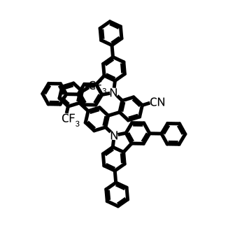 N#Cc1ccc(-c2cc(-c3c(C(F)(F)F)cccc3C(F)(F)F)ccc2-n2c3ccc(-c4ccccc4)cc3c3cc(-c4ccccc4)ccc32)c(-n2c3ccc(-c4ccccc4)cc3c3cc(-c4ccccc4)ccc32)c1